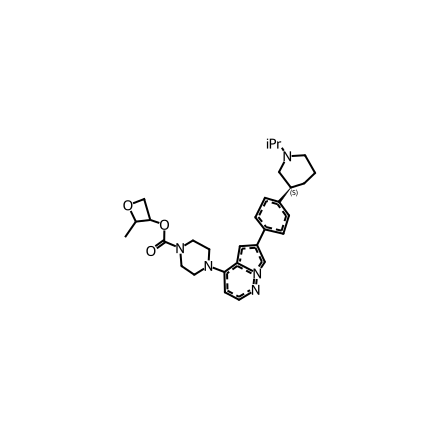 CC1OCC1OC(=O)N1CCN(c2ccnn3cc(-c4ccc([C@@H]5CCCN(C(C)C)C5)cc4)cc23)CC1